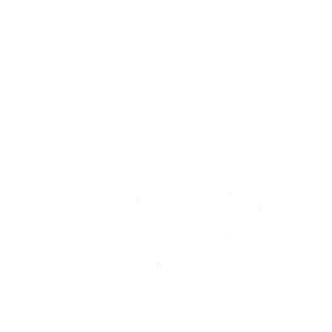 CCNC(=O)c1onc(-c2cc(C(C)C)c(OCc3ccccc3)cc2OCc2ccccc2)c1-c1ccc2c(c1)CCN(C)C2